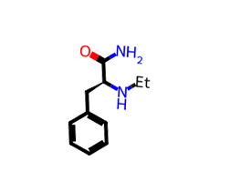 CCN[C@@H](Cc1ccccc1)C(N)=O